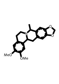 COc1cc2c(cc1OC)C1Cc3cc4c(cc3C(C)N1CC2)OCO4